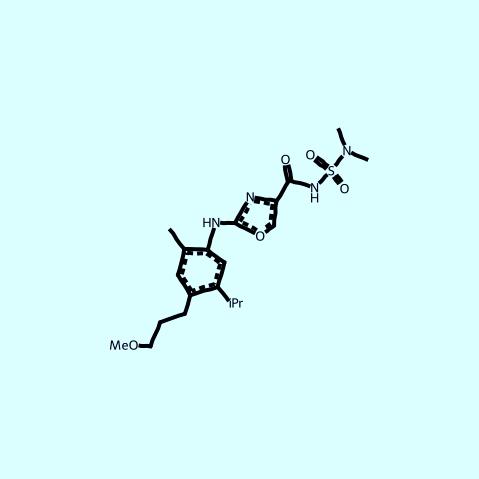 COCCCc1cc(C)c(Nc2nc(C(=O)NS(=O)(=O)N(C)C)co2)cc1C(C)C